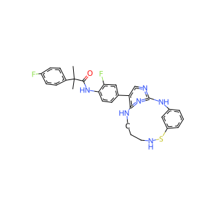 CC(C)(C(=O)Nc1ccc(-c2cnc3nc2NCCCNSc2cccc(c2)N3)cc1F)c1ccc(F)cc1